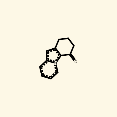 O=C1CCCc2cc3ccccn3c21